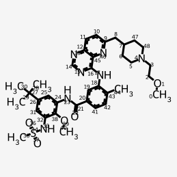 COCCN1CCC(Cc2ccc3ncnc(Nc4cc(C(=O)Nc5cc(C(C)(C)C)cc(NS(C)(=O)=O)c5OC)ccc4C)c3n2)CC1